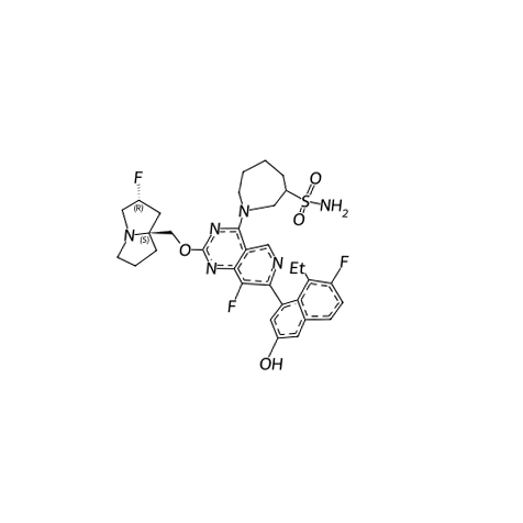 CCc1c(F)ccc2cc(O)cc(-c3ncc4c(N5CCCCC(S(N)(=O)=O)C5)nc(OC[C@@]56CCCN5C[C@H](F)C6)nc4c3F)c12